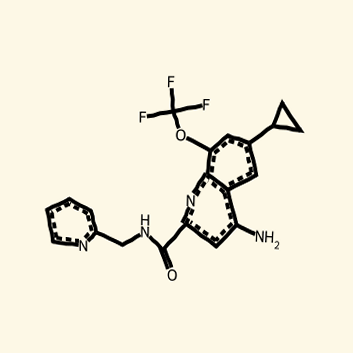 Nc1cc(C(=O)NCc2ccccn2)nc2c(OC(F)(F)F)cc(C3CC3)cc12